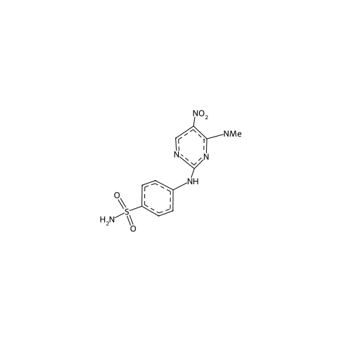 CNc1nc(Nc2ccc(S(N)(=O)=O)cc2)ncc1[N+](=O)[O-]